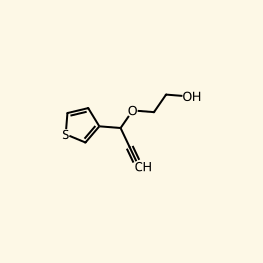 C#CC(OCCO)c1ccsc1